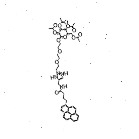 CC(=O)OC[C@H]1O[C@@H](OCCOCCOCCN2NC=C(CNC(=O)CCCc3ccc4ccc5cccc6ccc3c4c56)N2)[C@@H](OC(C)=O)[C@@H](OC(C)=O)[C@@H]1OC(C)=O